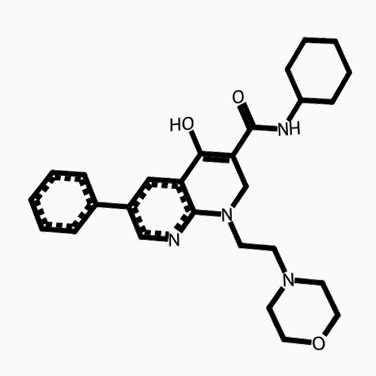 O=C(NC1CCCCC1)C1=C(O)c2cc(-c3ccccc3)cnc2N(CCN2CCOCC2)C1